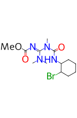 COC(=O)N=C(N(C)C)N(C)C(=O)NC1CCCCC1Br